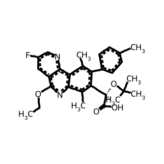 CCOc1nc2c(C)c([C@H](OC(C)(C)C)C(=O)O)c(-c3ccc(C)cc3)c(C)c2c2ncc(F)cc12